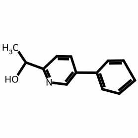 CC(O)c1ccc(-c2ccccc2)cn1